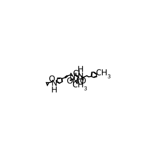 Cc1ccc(CCC(=O)Nc2c(Cl)n(CC#Cc3ccc(NC(=O)C4CC4)cc3)c(=O)n(C)c2=O)cc1